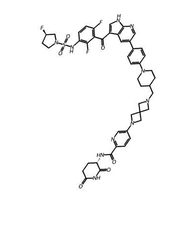 O=C1CC[C@H](NC(=O)c2ccc(N3CC4(CN(CC5CCN(c6ccc(-c7cnc8[nH]cc(C(=O)c9c(F)ccc(NS(=O)(=O)N%10CC[C@@H](F)C%10)c9F)c8c7)cc6)CC5)C4)C3)cn2)C(=O)N1